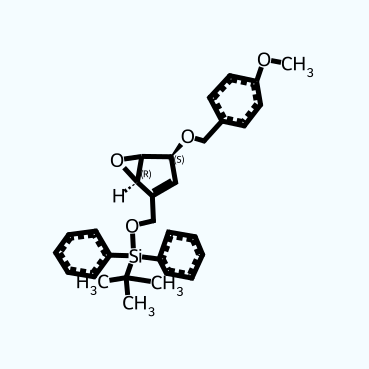 COc1ccc(CO[C@H]2C=C(CO[Si](c3ccccc3)(c3ccccc3)C(C)(C)C)[C@H]3OC23)cc1